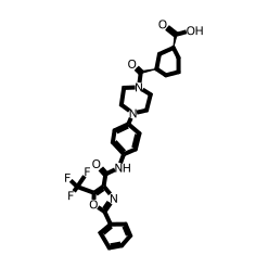 O=C(Nc1ccc(N2CCN(C(=O)[C@@H]3CCC[C@H](C(=O)O)C3)CC2)cc1)c1nc(-c2ccccc2)oc1C(F)(F)F